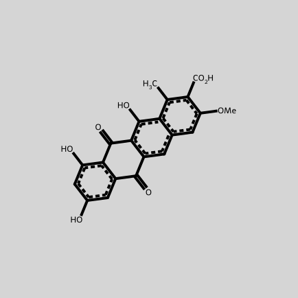 COc1cc2cc3c(c(O)c2c(C)c1C(=O)O)C(=O)c1c(O)cc(O)cc1C3=O